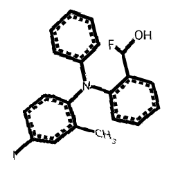 Cc1cc(I)ccc1N(c1ccccc1)c1ccccc1C(O)F